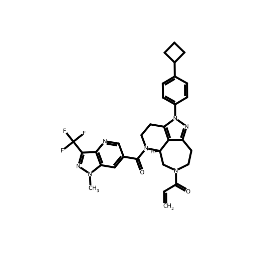 C=CC(=O)N1CCc2nn(-c3ccc(C4CCC4)cc3)c3c2[C@H](C1)N(C(=O)c1cnc2c(C(F)(F)F)nn(C)c2c1)CC3